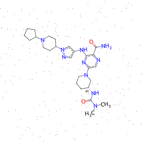 CN(C)C(=O)N[C@@H]1CCCN(c2cnc(C(N)=O)c(Nc3cnn(C4CCN(C5CCCC5)CC4)c3)n2)C1